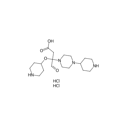 Cl.Cl.O=CC(CC(=O)O)(OC1CCNCC1)N1CCN(C2CCNCC2)CC1